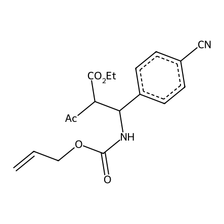 C=CCOC(=O)NC(c1ccc(C#N)cc1)C(C(C)=O)C(=O)OCC